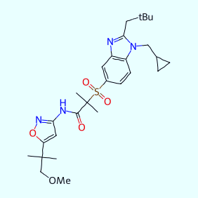 COCC(C)(C)c1cc(NC(=O)C(C)(C)S(=O)(=O)c2ccc3c(c2)nc(CC(C)(C)C)n3CC2CC2)no1